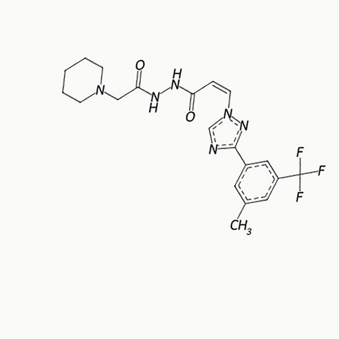 Cc1cc(-c2ncn(/C=C\C(=O)NNC(=O)CN3CCCCC3)n2)cc(C(F)(F)F)c1